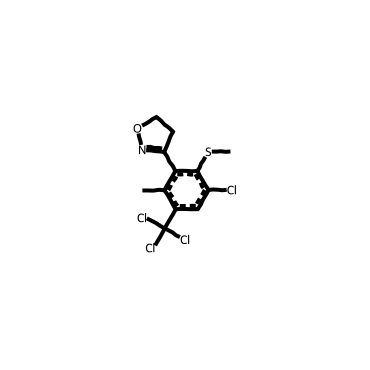 CSc1c(Cl)cc(C(Cl)(Cl)Cl)c(C)c1C1=NOCC1